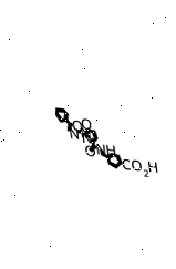 O=C(O)c1ccc(CNC(=O)c2ccc(=O)n(-c3ncc(-c4ccccc4)o3)n2)cc1